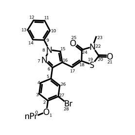 CCCOc1ccc(-c2nn(-c3ccccc3)cc2/C=C2/SC(=O)N(C)C2=O)cc1Br